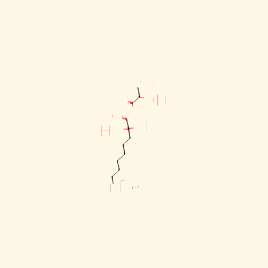 CCCCCCCCCCCCCCCCC(O)(O)C(=O)OC(=O)C(O)CO